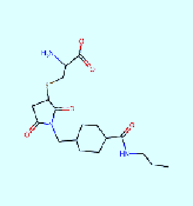 CCCNC(=O)C1CCC(CN2C(=O)CC(SCC(N)C(=O)O)C2=O)CC1